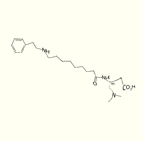 CN(C)C[C@@H](CC(=O)O)NC(=O)CCCCCCCCNCCc1ccccc1